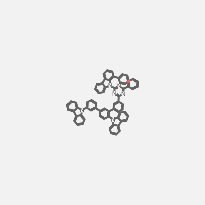 c1ccc(-c2nc(-c3cccc(-c4cc(-c5cccc(-n6c7ccccc7c7ccccc76)c5)ccc4-n4c5ccccc5c5ccccc54)c3)nc(-n3c4ccccc4c4cccc(-c5ccccc5)c43)n2)cc1